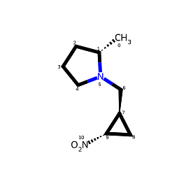 C[C@H]1CCCN1C[C@H]1C[C@@H]1[N+](=O)[O-]